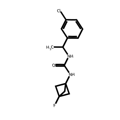 CC(NC(=O)NC12CC(F)(C1)C2)c1cccc(Cl)c1